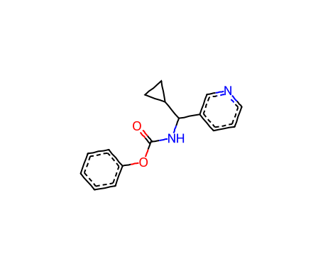 O=C(NC(c1cccnc1)C1CC1)Oc1ccccc1